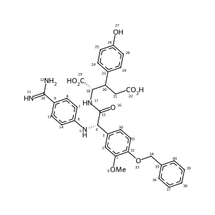 COc1cc([C@H](Nc2ccc(C(=N)N)cc2)C(=O)N[C@H](C(=O)O)C(CC(=O)O)c2ccc(O)cc2)ccc1OCc1ccccc1